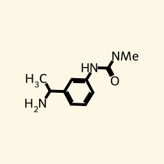 CNC(=O)Nc1cccc(C(C)N)c1